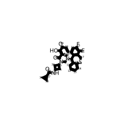 O=C(NC1CC(N2CN([C@@H]3c4ccccc4SCc4c3ccc(F)c4F)n3ccc(=O)c(O)c3C2=O)C1)C1CC1